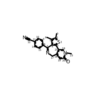 Cc1sc2c(c1C)C(c1ccc(C#N)cc1)=NCc1cc(=O)n(C)cc1-2